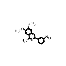 COc1cc2cc(-c3cccc(N=O)c3)nc(C)c2cc1OC